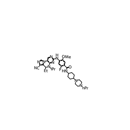 CCCN1CCN(C2CCC(NC(=O)c3cc(OC)c(Nc4ncc5c(n4)N(C(C)C)C(CC)c4c(C#N)ncn4-5)cc3F)CC2)CC1